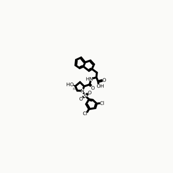 O=C(O)C(Cc1ccc2ccccc2c1)NC(=O)C1C[C@H](O)CN1S(=O)(=O)c1cc(Cl)cc(Cl)c1